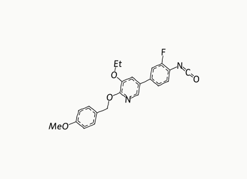 CCOc1cc(-c2ccc(N=C=O)c(F)c2)cnc1OCc1ccc(OC)cc1